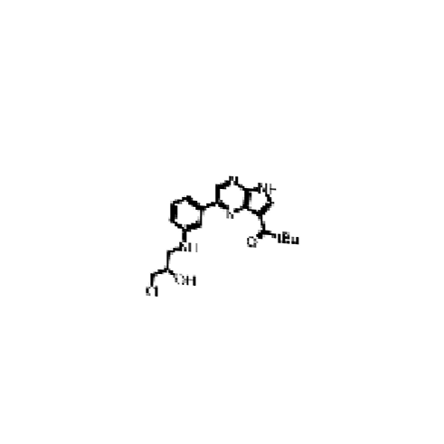 CC(C)(C)C(=O)c1c[nH]c2ncc(-c3cccc(NCC(O)CCl)c3)nc12